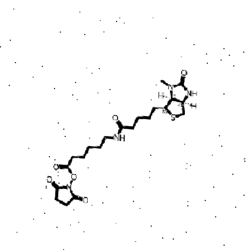 CN1C(=O)N[C@H]2CS[C@@H](CCCCC(=O)NCCCCCC(=O)ON3C(=O)CCC3=O)[C@H]21